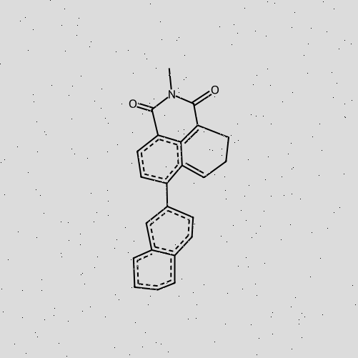 CN1C(=O)C2=c3c(ccc(-c4ccc5ccccc5c4)c3=CCC2)C1=O